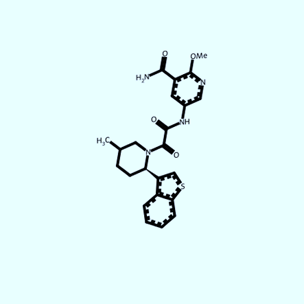 COc1ncc(NC(=O)C(=O)N2CC(C)CC[C@@H]2c2csc3ccccc23)cc1C(N)=O